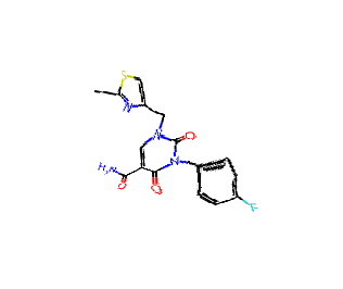 Cc1nc(Cn2cc(C(N)=O)c(=O)n(-c3ccc(F)cc3)c2=O)cs1